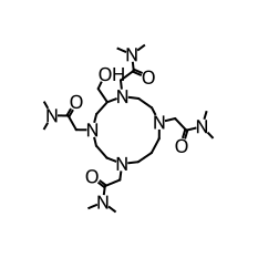 CN(C)C(=O)CN1CCCN(CC(=O)N(C)C)CCN(CC(=O)N(C)C)C(CO)CN(CC(=O)N(C)C)CC1